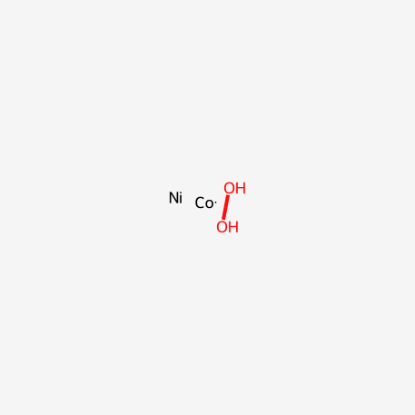 OO.[Co].[Ni]